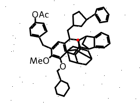 COc1c(Cc2ccc(OC(C)=O)cc2)cc([C](CC2CCC(c3ccccc3)C2)CC23CC4CC(CC(C4)C2)C3)c(CC2CC3CC2c2ccccc23)c1OCC1CCCCC1